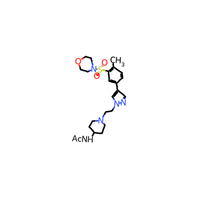 CC(=O)NC1CCN(CCn2cc(-c3ccc(C)c(S(=O)(=O)N4CCOCC4)c3)cn2)CC1